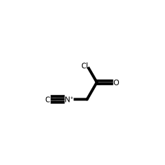 [C-]#[N+]CC(=O)Cl